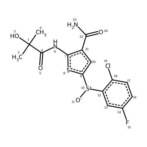 CC(C)(O)C(=O)Nc1sc([S+]([O-])c2cc(F)ccc2Cl)cc1C(N)=O